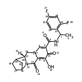 CC(NC(=O)c1cn2c(c(O)c1=O)C(=O)N1C3CCC(C3)[C@@H]1C2)c1ccc(F)cc1F